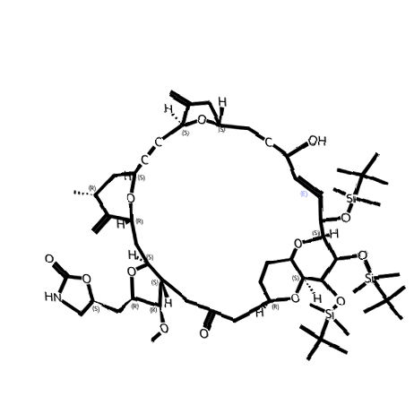 C=C1C[C@@H]2CCC(O)/C=C/C(O[Si](C)(C)C(C)(C)C)[C@@H]3OC4CC[C@H](CC(=O)C[C@@H]5[C@@H](OC)[C@@H](C[C@H]6CNC(=O)O6)O[C@H]5C[C@H]5O[C@@H](CC[C@@H]1O2)C[C@@H](C)C5=C)O[C@@H]4C(O[Si](C)(C)C(C)(C)C)C3O[Si](C)(C)C(C)(C)C